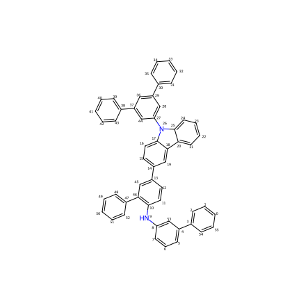 c1ccc(-c2cccc(Nc3ccc(-c4ccc5c(c4)c4ccccc4n5-c4cc(-c5ccccc5)cc(-c5ccccc5)c4)cc3-c3ccccc3)c2)cc1